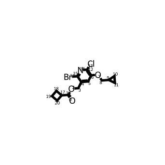 O=C(OCc1cc(OCC2CC2)c(Cl)nc1Br)C1CCC1